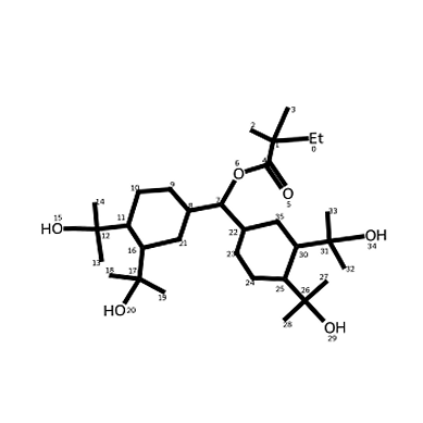 CCC(C)(C)C(=O)OC(C1CCC(C(C)(C)O)C(C(C)(C)O)C1)C1CCC(C(C)(C)O)C(C(C)(C)O)C1